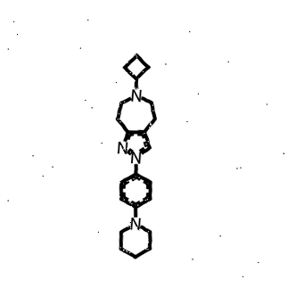 c1cc(-n2cc3c(n2)CCN(C2CCC2)CC3)ccc1N1CCCCC1